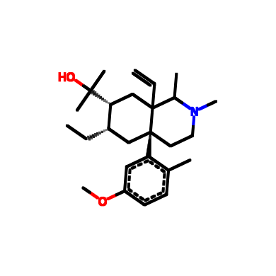 C=CC12C[C@@H](C(C)(C)O)[C@@H](CC)C[C@@]1(c1cc(OC)ccc1C)CCN(C)C2C